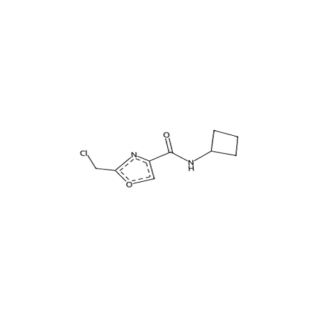 O=C(NC1CCC1)c1coc(CCl)n1